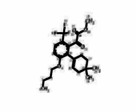 CCCCOc1ccc(C(F)(F)F)c(C(=O)C(=O)OC)c1C1=CCC(C)(C)CC1